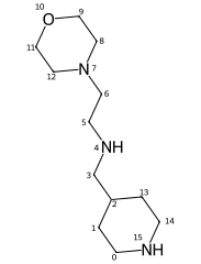 C1CC(CNCCN2CCOCC2)CCN1